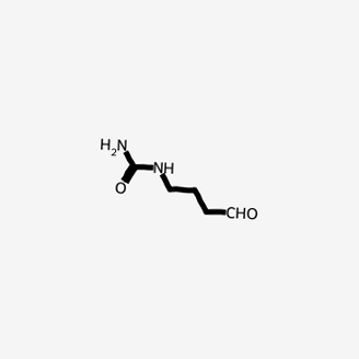 NC(=O)NCCCC=O